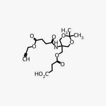 C#CCOC(=O)CCC(=O)NC1(COC(=O)CCC(=O)O)COC(C)(C)OC1